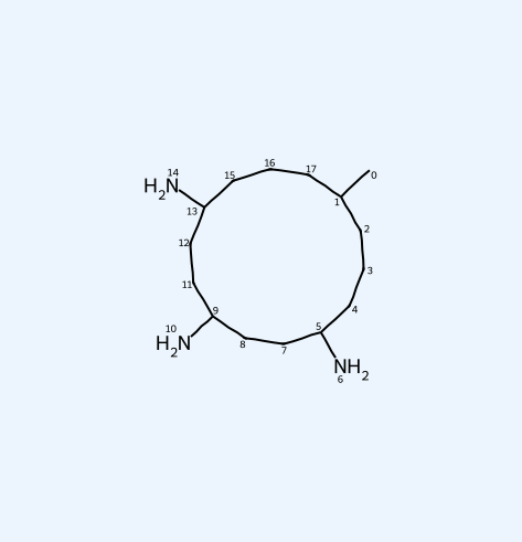 CC1CCCC(N)CCC(N)CCC(N)CCC1